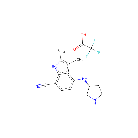 Cc1[nH]c2c(C#N)ccc(N[C@H]3CCNC3)c2c1C.O=C(O)C(F)(F)F